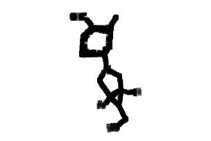 Cc1nc(N2C[C@@H]3C(CO)[C@@H]3C2)ccc1C=O